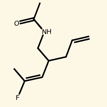 C=CCC(/C=C(\C)F)CNC(C)=O